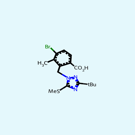 CSc1nc(C(C)(C)C)nn1Cc1c(C(=O)O)ccc(Br)c1C